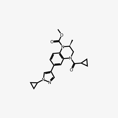 COC(=O)N1c2ccc(-c3cnn(C4CC4)c3)cc2N(C(=O)C2CC2)C[C@@H]1C